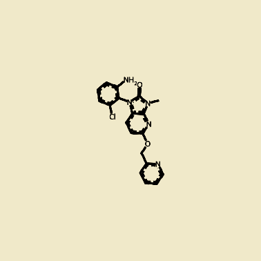 Cn1c(=O)n(-c2c(N)cccc2Cl)c2ccc(OCc3ccccn3)nc21